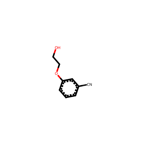 N#Cc1c[c]cc(OCCO)c1